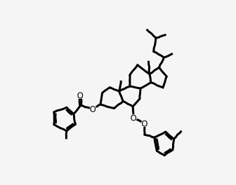 Cc1cccc(COOC2CC3C4CCC(C(C)CC(C)C)C4(C)CCC3C3(C)CCC(OC(=O)c4cccc(C)c4)CC23)c1